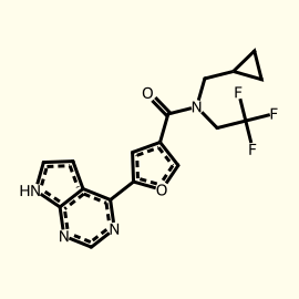 O=C(c1coc(-c2ncnc3[nH]ccc23)c1)N(CC1CC1)CC(F)(F)F